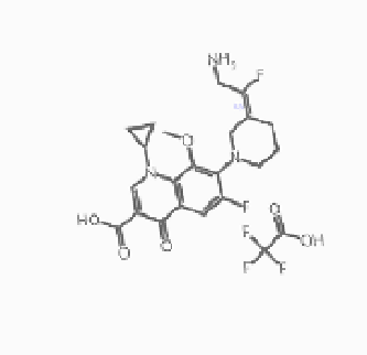 COc1c(N2CCC/C(=C(\F)CN)C2)c(F)cc2c(=O)c(C(=O)O)cn(C3CC3)c12.O=C(O)C(F)(F)F